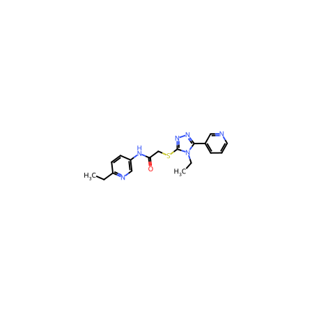 CCc1ccc(NC(=O)CSc2nnc(-c3cccnc3)n2CC)cn1